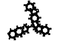 c1ccc2cn3nc(-n4c5cc6c(cc5c5c7ccccc7sc54)oc4ccccc46)cc3cc2c1